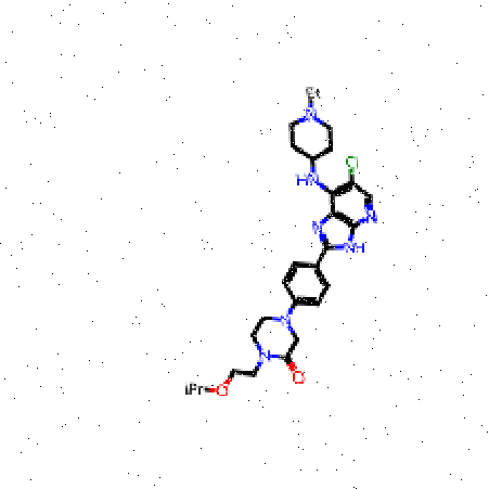 CCN1CCC(Nc2c(Cl)cnc3[nH]c(-c4ccc(N5CCN(CCOC(C)C)C(=O)C5)cc4)nc23)CC1